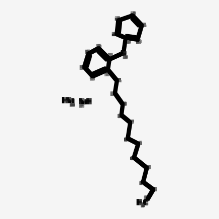 CCCCCCCCCCCCc1ccccc1Oc1ccccc1.[NaH].[NaH]